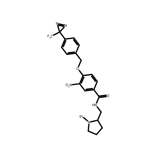 CCN1CCCC1CNC(=O)c1ccc(OCc2ccc(C3(C(F)(F)F)N=N3)cc2)c([N+](=O)[O-])c1